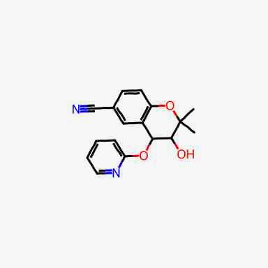 CC1(C)Oc2ccc(C#N)cc2C(Oc2ccccn2)C1O